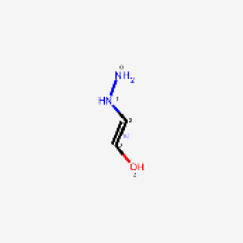 NN/C=C/O